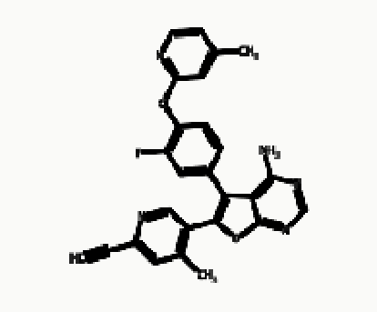 C#Cc1cc(C)c(-c2oc3ncnc(N)c3c2-c2ccc(Oc3cc(C)ccn3)c(F)c2)cn1